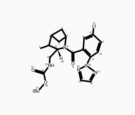 CC1C2CC(C2)N(C(=O)c2cc(Cl)ccc2-n2nccn2)[C@@H]1CNC(=O)OC(C)(C)C